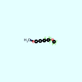 C/C=C/COC1CCC(C2CCC(c3ccc(-c4cc(F)c(C(F)(F)Oc5cc(F)c(F)c(F)c5)c(F)c4)c(F)c3)CC2)CC1